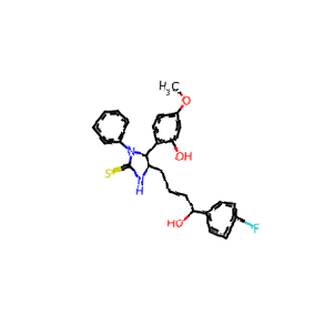 COc1ccc(C2C(CCCC(O)c3ccc(F)cc3)NC(=S)N2c2ccccc2)c(O)c1